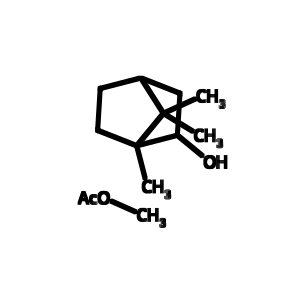 CC1(C)C2CCC1(C)C(O)C2.COC(C)=O